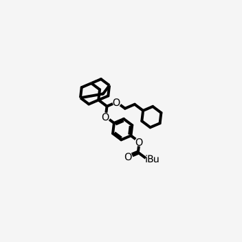 CCC(C)C(=O)Oc1ccc(OC(OCCC2CCCCC2)C23CC4CC(CC(C4)C2)C3)cc1